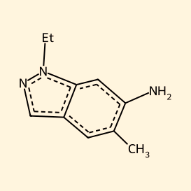 CCn1ncc2cc(C)c(N)cc21